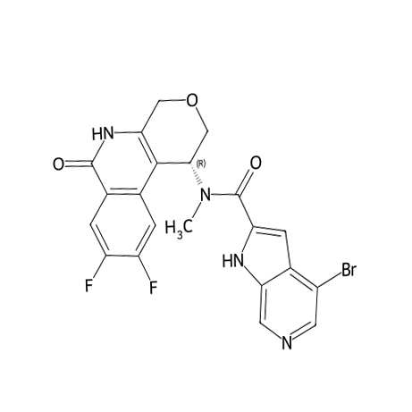 CN(C(=O)c1cc2c(Br)cncc2[nH]1)[C@H]1COCc2[nH]c(=O)c3cc(F)c(F)cc3c21